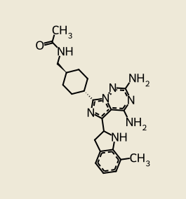 CC(=O)NC[C@H]1CC[C@H](c2nc(C3Cc4cccc(C)c4N3)c3c(N)nc(N)nn32)CC1